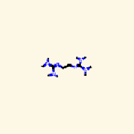 CN(C)C(=NCCN=C(N(C)C)N(C)C)N(C)C